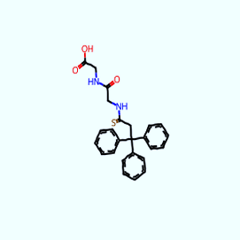 O=C(O)CNC(=O)CNC(=S)CC(c1ccccc1)(c1ccccc1)c1ccccc1